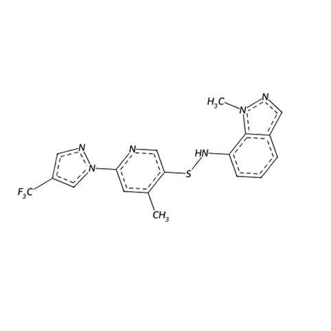 Cc1cc(-n2cc(C(F)(F)F)cn2)ncc1SNc1cccc2cnn(C)c12